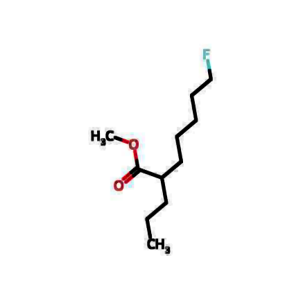 CCCC(CCCCCF)C(=O)OC